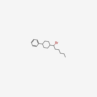 CCCCCC(Br)C1CCC(c2ccccc2)CC1